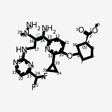 COC(=O)[C@H]1CCCC(Oc2ccc(/C(N)=C(\CNc3nccc(C(F)F)n3)N(C)N)nc2C2CC2)C1